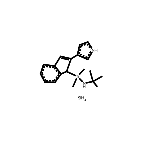 CC(C)(C)[NH][Ti]([CH3])([CH3])[CH]1C(c2cc[nH]c2)=Cc2ccccc21.[SiH4]